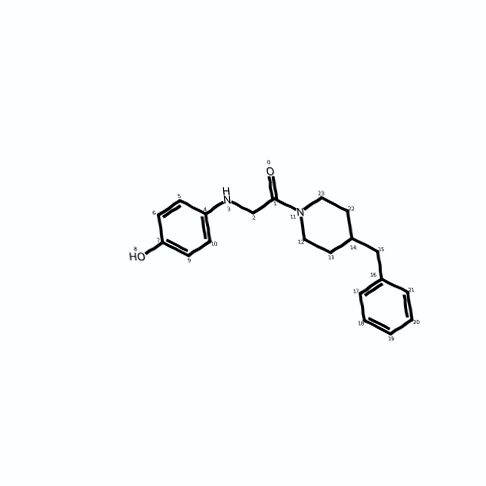 O=C(CNc1ccc(O)cc1)N1CCC(Cc2ccccc2)CC1